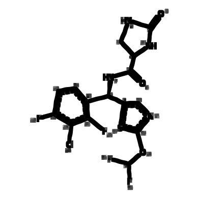 O=C1NCC(C(=O)N[C@@H](c2cnc(OC(F)F)s2)c2ccc(F)c(Cl)c2F)N1